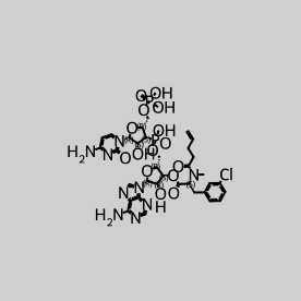 C=CCCC(=O)N(C)[C@@H](Cc1cccc(Cl)c1)C(=O)O[C@H]1[C@@H](O)[C@H](n2cnc3c(N)ncnc32)O[C@@H]1COP(=O)(O)[C@H]1[C@@H](O)[C@H](n2ccc(N)nc2=O)O[C@@H]1COP(=O)(O)O